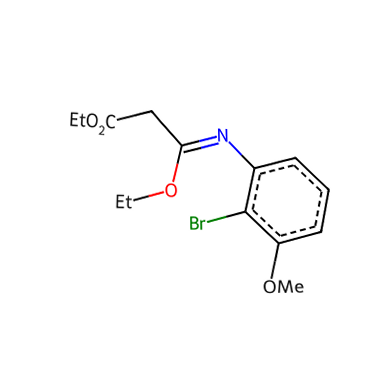 CCOC(=O)C/C(=N/c1cccc(OC)c1Br)OCC